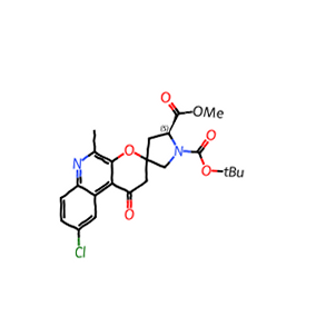 COC(=O)[C@@H]1CC2(CC(=O)c3c(c(C)nc4ccc(Cl)cc34)O2)CN1C(=O)OC(C)(C)C